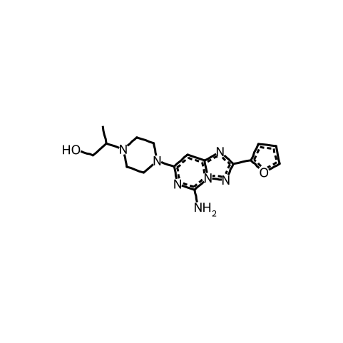 CC(CO)N1CCN(c2cc3nc(-c4ccco4)nn3c(N)n2)CC1